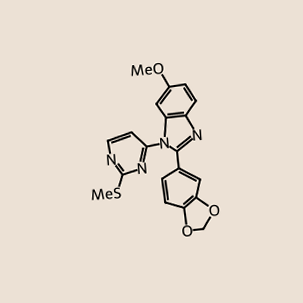 COc1ccc2nc(-c3ccc4c(c3)OCO4)n(-c3ccnc(SC)n3)c2c1